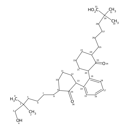 CC(C)(CO)CCCCC1CCCC(c2ccccc2C2CCCC(CCCCC(C)(C)C(=O)O)C2=O)C1=O